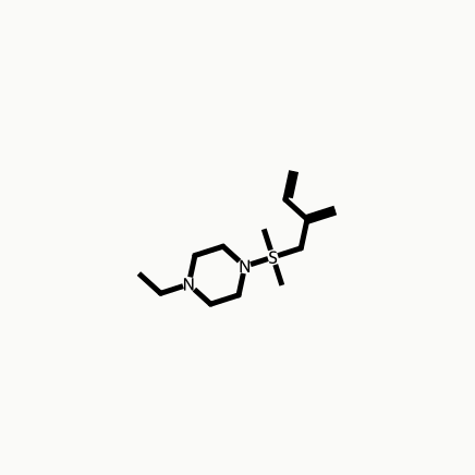 C=CC(=C)CS(C)(C)N1CCN(CC)CC1